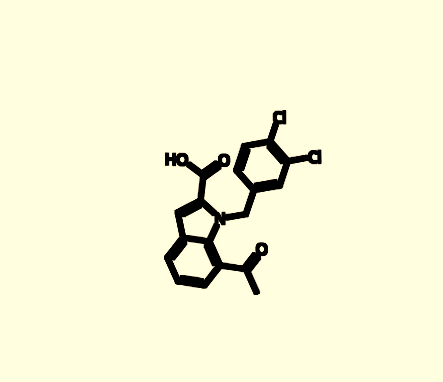 CC(=O)c1cccc2cc(C(=O)O)n(Cc3ccc(Cl)c(Cl)c3)c12